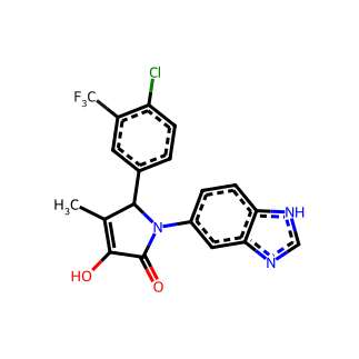 CC1=C(O)C(=O)N(c2ccc3[nH]cnc3c2)C1c1ccc(Cl)c(C(F)(F)F)c1